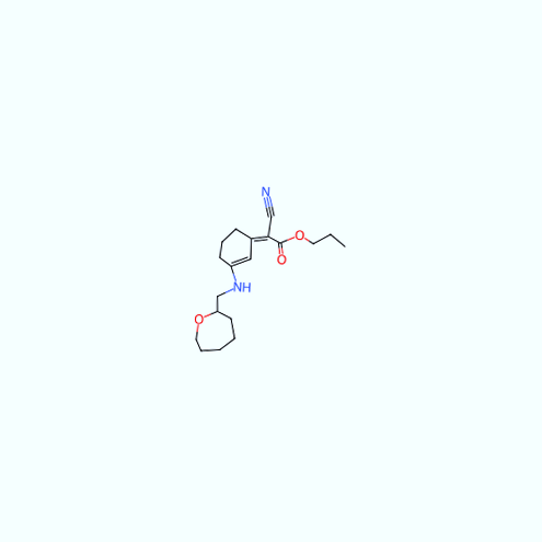 CCCOC(=O)/C(C#N)=C1\C=C(NCC2CCCCCO2)CCC1